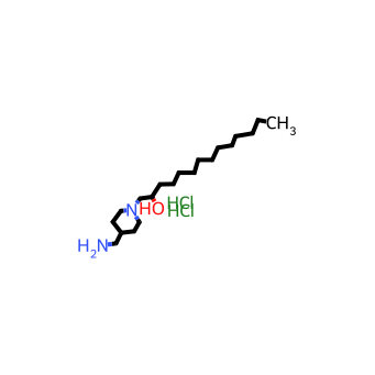 CCCCCCCCCCCCC(O)CN1CCC(CN)CC1.Cl.Cl